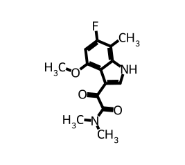 COc1cc(F)c(C)c2[nH]cc(C(=O)C(=O)N(C)C)c12